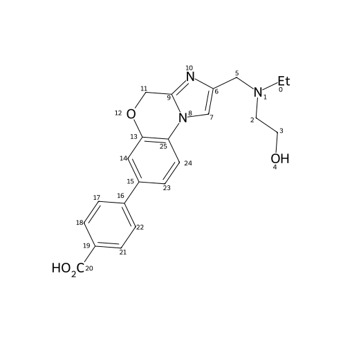 CCN(CCO)Cc1cn2c(n1)COc1cc(-c3ccc(C(=O)O)cc3)ccc1-2